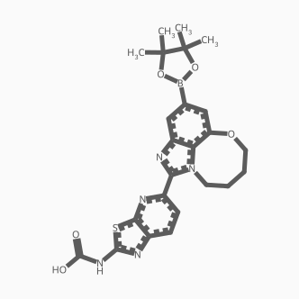 CC1(C)OB(c2cc3c4c(c2)nc(-c2ccc5nc(NC(=O)O)sc5n2)n4CCCCO3)OC1(C)C